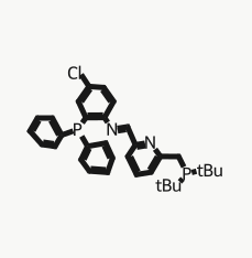 CC(C)(C)P(Cc1cccc(/C=N/c2ccc(Cl)cc2P(c2ccccc2)c2ccccc2)n1)C(C)(C)C